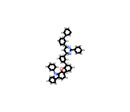 c1ccc(-c2cccc(-c3cc(-c4cccc(-c5cccc6c5oc5c6ccc6c7ccccc7n(-c7ccccc7)c65)c4)nc(-c4ccccc4)n3)c2)cc1